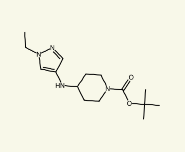 CCn1cc(NC2CCN(C(=O)OC(C)(C)C)CC2)cn1